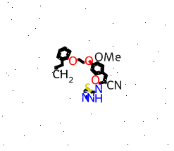 C=CCc1ccccc1OCCOc1ccc(C=C(C#N)C(=O)Nc2nncs2)cc1OC